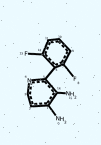 Nc1ccnc(-c2c(F)cccc2F)c1N